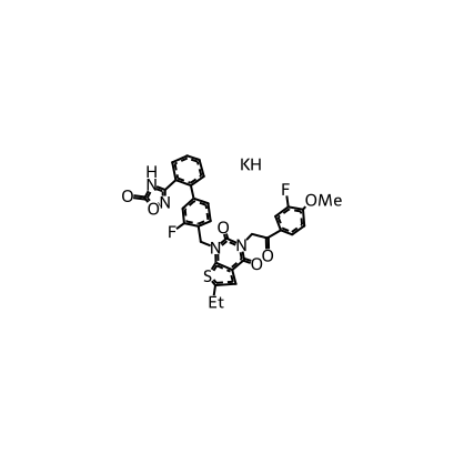 CCc1cc2c(=O)n(CC(=O)c3ccc(OC)c(F)c3)c(=O)n(Cc3ccc(-c4ccccc4-c4noc(=O)[nH]4)cc3F)c2s1.[KH]